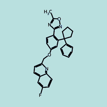 Cc1nc(-c2ccc(OCc3ccc4cc(F)ccc4n3)cc2C2(c3ccccc3)CCCC2)no1